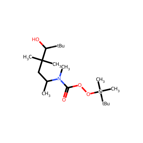 CC(CC(C)(C)C(O)C(C)(C)C)N(C)C(=O)OO[Si](C)(C)C(C)(C)C